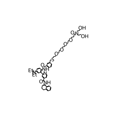 CCN(CC)c1ccc(NC(=O)c2cccc(CSCCOCCOCCOCCOCCC(=O)N(CCO)CCO)c2)c(-c2cc(C(=O)N[C@H]3CCCc4ccccc43)ccn2)c1